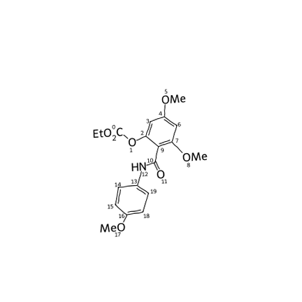 CCOC(=O)Oc1cc(OC)cc(OC)c1C(=O)Nc1ccc(OC)cc1